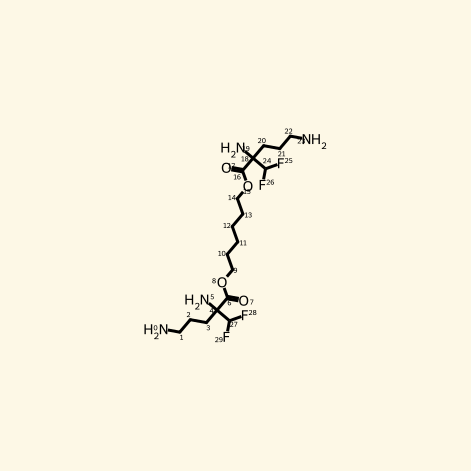 NCCCC(N)(C(=O)OCCCCCCOC(=O)C(N)(CCCN)C(F)F)C(F)F